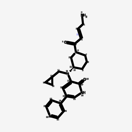 NC/C=C/C(=O)N1CCC[C@H](N(CC2CC2)c2cc(-c3ccncc3)c[nH]c2=O)C1